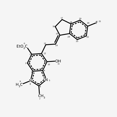 CCOC(=O)c1cc2c(nc(C)n2C)c(O)c1CC=C1CCc2cc(F)ccc21